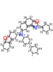 c1ccc(-c2ccc(N(c3ccc4oc5ccccc5c4c3)c3ccc4ccc5oc(-c6ccccc6)nc5c4c3)cc2)cc1